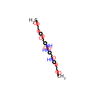 C=CC(=O)OCCCCOc1ccc(NC(=O)/C=C/c2ccc(NC(=O)C(=O)Nc3ccc(/C=C/C(=O)Oc4ccc(OCCCCOC(=O)C=C)cc4)cc3)cc2)cc1